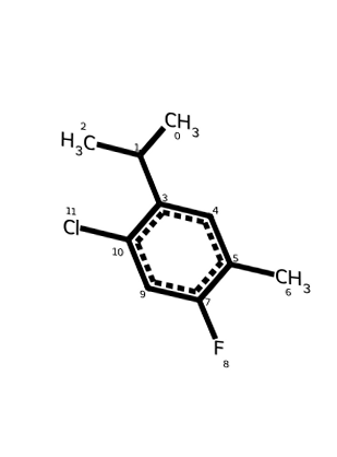 C[C](C)c1cc(C)c(F)cc1Cl